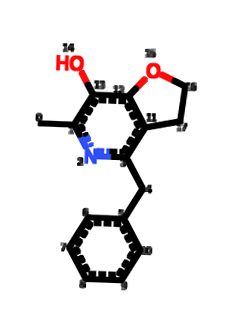 Cc1nc(Cc2ccccc2)c2c(c1O)OCC2